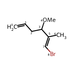 C=CCC(OC)/C(C)=C/Br